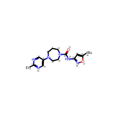 CCc1ncc(N2CCCN(C(=O)Nc3cc(C(C)(C)C)on3)CC2)cn1